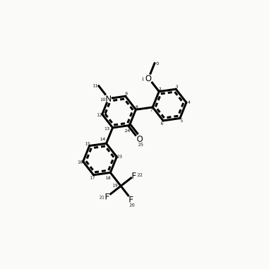 COc1ccccc1-c1cn(C)cc(-c2cccc(C(F)(F)F)c2)c1=O